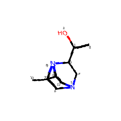 CC(O)C1CN2CCN1C(C)C2